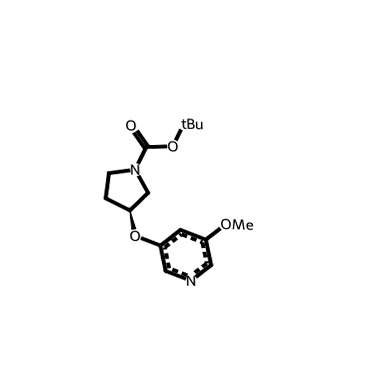 COc1cncc(O[C@H]2CCN(C(=O)OC(C)(C)C)C2)c1